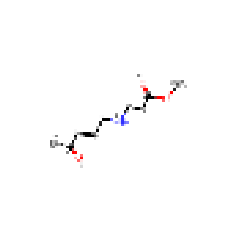 CCC(=O)/C=C/CNCCC(=O)OC(C)(C)C